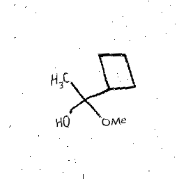 COC(C)(O)C1CCC1